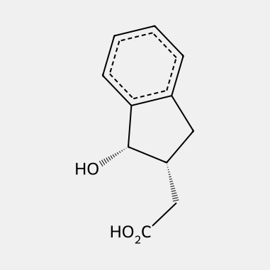 O=C(O)C[C@H]1Cc2ccccc2[C@H]1O